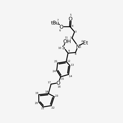 CCN(CCC(=O)OC(C)(C)C)CC(SO)c1ccc(OCc2ccccc2)cc1